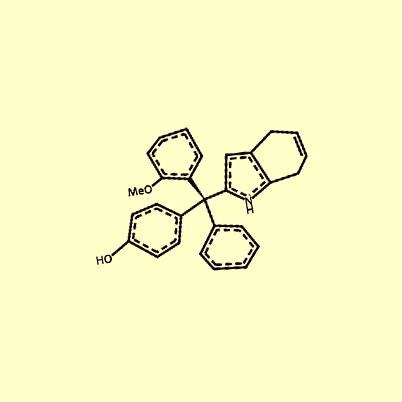 COc1ccccc1[C@@](c1ccccc1)(c1ccc(O)cc1)c1cc2c([nH]1)CC=CC2